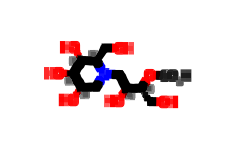 O=S(=O)(O)O[C@H](CO)[C@@H](O)CN1C[C@H](O)[C@@H](O)[C@H](O)[C@H]1CO